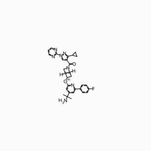 CC(C)(N)c1cc(O[C@@H]2C[C@@H]3[C@H]2CN3C(=O)c2cn(-c3ncccn3)nc2C2CC2)nc(-c2ccc(F)cc2)c1